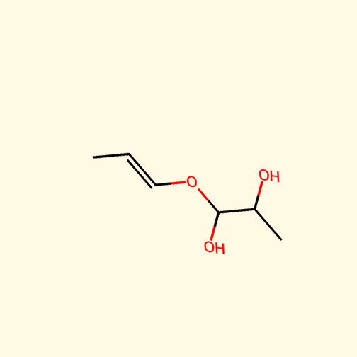 CC=COC(O)C(C)O